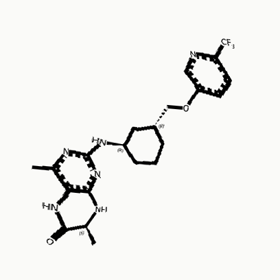 Cc1nc(N[C@@H]2CCC[C@@H](COc3ccc(C(F)(F)F)nc3)C2)nc2c1NC(=O)[C@H](C)N2